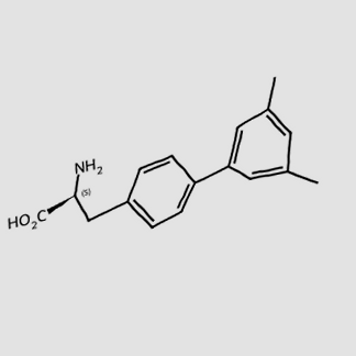 Cc1cc(C)cc(-c2ccc(C[C@H](N)C(=O)O)cc2)c1